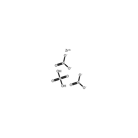 O=S(=O)(O)O.O=[Si]([O-])[O-].O=[Si]([O-])[O-].[Zr+4]